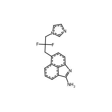 NC1=Nc2ccc(CC(F)(F)Cn3ccnc3)c3cccc1c23